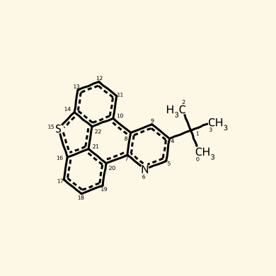 CC(C)(C)c1cnc2c(c1)c1cccc3sc4cccc2c4c31